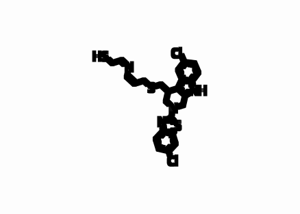 SC/C=N\C=C/CSCC1CN(c2nc3ccc(Cl)cc3s2)Cc2[nH]c3ccc(Cl)cc3c21